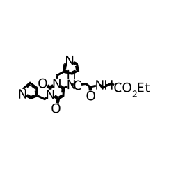 CCOC(=O)CCNC(=O)CCNc1cc(=O)n(Cc2cccnc2)c(=O)n1Cc1cccnc1